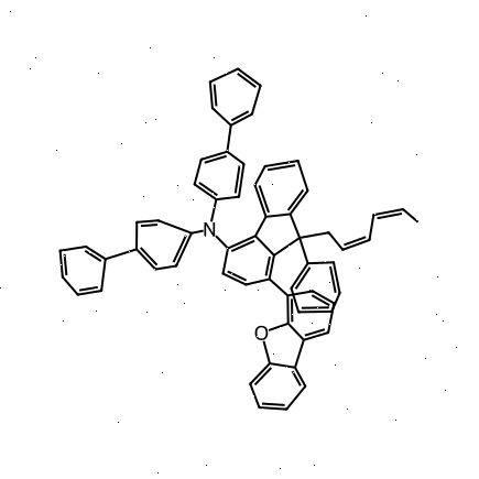 C/C=C\C=C/CC1(c2ccccc2)c2ccccc2-c2c(N(c3ccc(-c4ccccc4)cc3)c3ccc(-c4ccccc4)cc3)ccc(-c3cccc4c3oc3ccccc34)c21